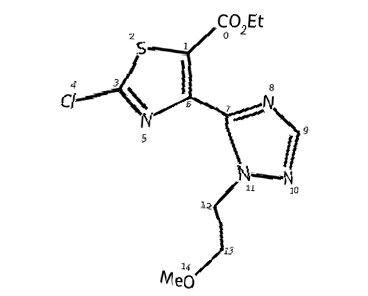 CCOC(=O)c1sc(Cl)nc1-c1ncnn1CCOC